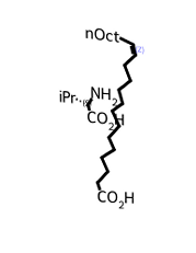 CC(C)[C@H](N)C(=O)O.CCCCCCCC/C=C\CCCCCCCCCCCC(=O)O